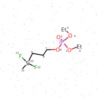 CCOP(=O)(OCC)OCCC[Si](C)(F)F